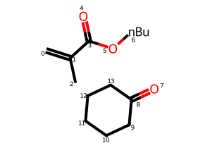 C=C(C)C(=O)OCCCC.O=C1CCCCC1